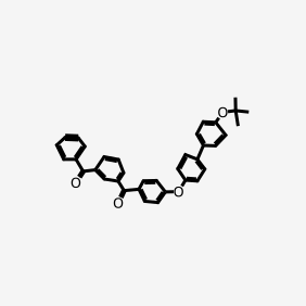 CC(C)(C)Oc1ccc(-c2ccc(Oc3ccc(C(=O)c4cccc(C(=O)c5cc#ccc5)c4)cc3)cc2)cc1